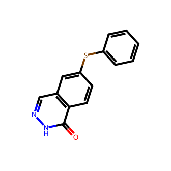 O=c1[nH]ncc2cc(Sc3ccccc3)ccc12